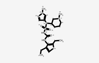 CCc1csc(CC)c1NC(=O)NS(=O)(=O)N(c1cnn(C)c1)C1CCCN(C)C1